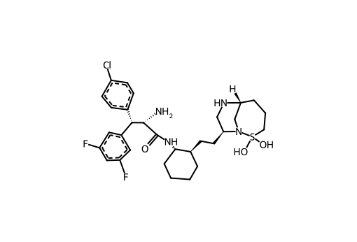 N[C@H](C(=O)N[C@H]1CCCC[C@@H]1CC[C@H]1CN[C@@H]2CCCS(O)(O)N1C2)[C@@H](c1ccc(Cl)cc1)c1cc(F)cc(F)c1